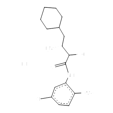 COc1ccc(Cl)cc1NC(=O)C(O)[C@H](N)CC1CCCCC1.Cl